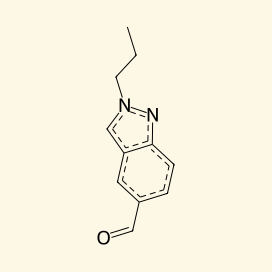 CCCn1cc2cc(C=O)ccc2n1